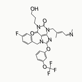 C/N=C\C=C(/C)Cn1c(=O)n(CCCO)c(=O)c2c1nc(Oc1cccc(OC(F)(F)F)c1)n2Cc1ccc(F)cc1